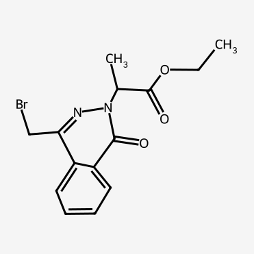 CCOC(=O)C(C)n1nc(CBr)c2ccccc2c1=O